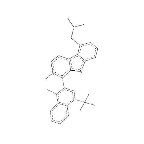 Cc1c(-c2c3sc4cccc(CC(C)C)c4c3cc[n+]2C)cc(C(C)(C)C)c2ccccc12